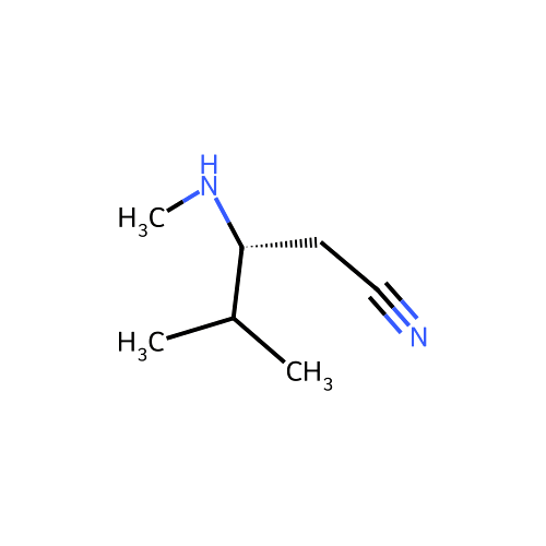 CN[C@H](CC#N)C(C)C